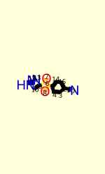 N#Cc1ccc(S(=O)(=O)c2c[nH]nn2)cc1